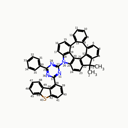 CC1(C)c2cccc3c4ccccc4c4cccc5c4c4c(c1ccc4n5-c1nc(-c4ccccc4)nc(-c4cccc5sc6ccccc6c45)n1)c23